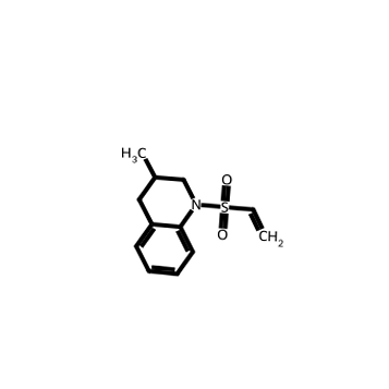 C=CS(=O)(=O)N1CC(C)Cc2ccccc21